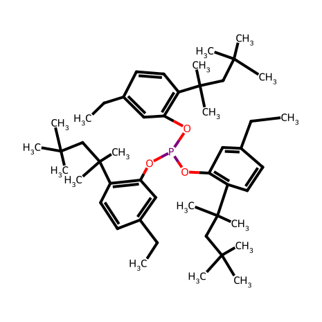 CCc1ccc(C(C)(C)CC(C)(C)C)c(OP(Oc2cc(CC)ccc2C(C)(C)CC(C)(C)C)Oc2cc(CC)ccc2C(C)(C)CC(C)(C)C)c1